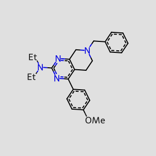 CCN(CC)c1nc2c(c(-c3ccc(OC)cc3)n1)CCN(Cc1ccccc1)C2